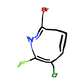 Fc1nc(Br)ccc1Cl